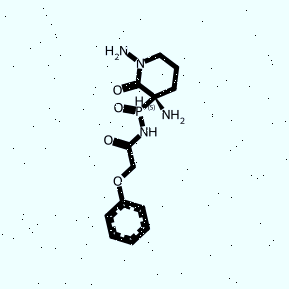 NN1CCC[C@](N)([PH](=O)NC(=O)COc2ccccc2)C1=O